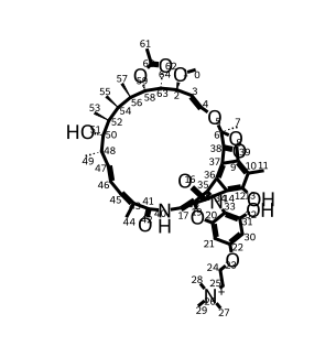 CO[C@H]1/C=C/O[C@@]2(C)Oc3c(C)c(O)c4c(=O)c(c5oc6cc(OCC[N+](C)(C)C)cc(O)c6nc-5c4c3C2=O)NC(=O)/C(C)=C\C=C\[C@H](C)[C@H](O)[C@@H](C)[C@@H](C)[C@@H](C)[C@H](OC(C)=O)[C@@H]1C